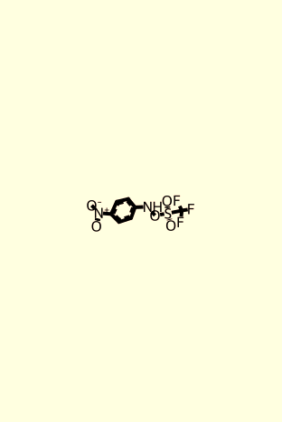 O=[N+]([O-])c1ccc(NOS(=O)(=O)C(F)(F)F)cc1